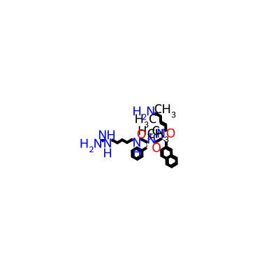 CN(C(=O)/C=C/CC(C)(C)N)[C@H](Cc1ccc2ccccc2c1)C(=O)N(C)[C@H](Cc1ccccc1)C(=O)NCCCCCNC(=N)N